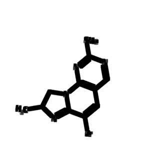 CSc1ncc2c(n1)N1CC(C)N=C1C(Br)=C2